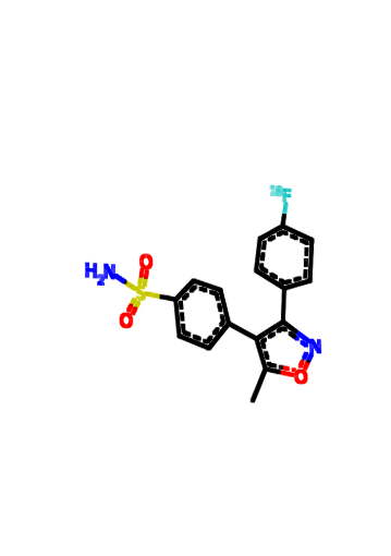 Cc1onc(-c2ccc([18F])cc2)c1-c1ccc(S(N)(=O)=O)cc1